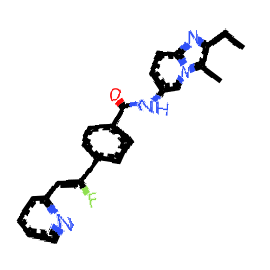 CCc1nc2ccc(NC(=O)c3ccc(C(F)=Cc4ccccn4)cc3)cn2c1C